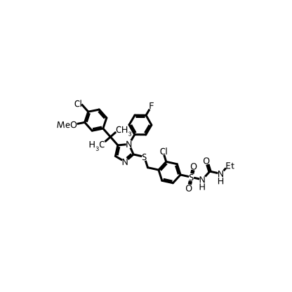 CCNC(=O)NS(=O)(=O)c1ccc(CSc2ncc(C(C)(C)c3ccc(Cl)c(OC)c3)n2-c2ccc(F)cc2)c(Cl)c1